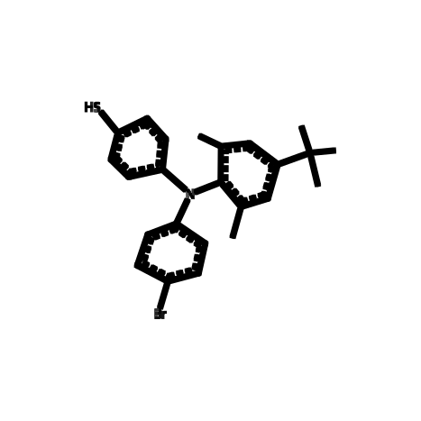 Cc1cc(C(C)(C)C)cc(C)c1N(c1ccc(S)cc1)c1ccc(Br)cc1